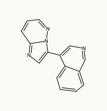 c1ccc2c(-c3cnc4cccnn34)cncc2c1